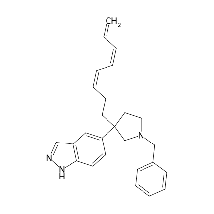 C=C/C=C\C=C/CCC1(c2ccc3[nH]ncc3c2)CCN(Cc2ccccc2)C1